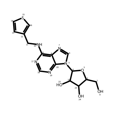 OCC1OC(n2cnc3c(NCc4ccsc4)ncnc32)C(O)C1O